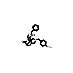 CC(C)CC1C2CC3CN(Cc4ccc(C(C)(C)C)cc4)C1C3(C(=O)NCc1ccccc1)NC2=O